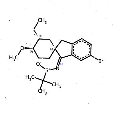 CC[C@@H]1C[C@]2(CC[C@H]1OC)Cc1ccc(Br)cc1/C2=N/[S+]([O-])C(C)(C)C